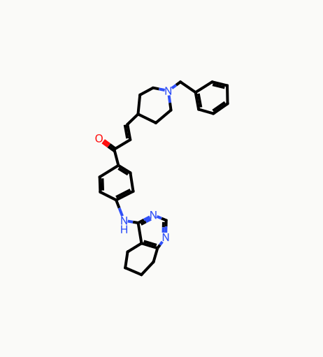 O=C(C=CC1CCN(Cc2ccccc2)CC1)c1ccc(Nc2ncnc3c2CCCC3)cc1